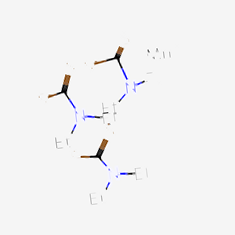 CCN(CC)C(=S)[S-].CCN(CC)C(=S)[S-].CCN(CC)C(=S)[S-].[Mn+3]